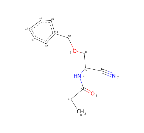 CCC(=O)NC(C#N)COCc1ccccc1